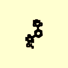 CCCCOC(=O)c1cccc(-c2nc(C)no2)c1